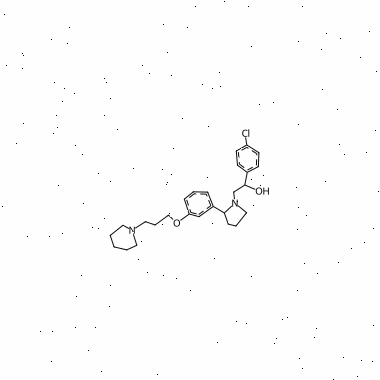 OC(CN1CCCC1c1cccc(OCCCN2CCCCC2)c1)c1ccc(Cl)cc1